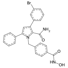 NC(=O)c1c(-c2cccc(Br)c2)cc(-c2ccccc2)n1Cc1ccc(C(=O)NO)cc1